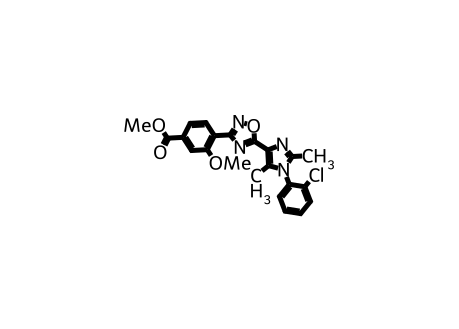 COC(=O)c1ccc(-c2noc(-c3nc(C)n(-c4ccccc4Cl)c3C)n2)c(OC)c1